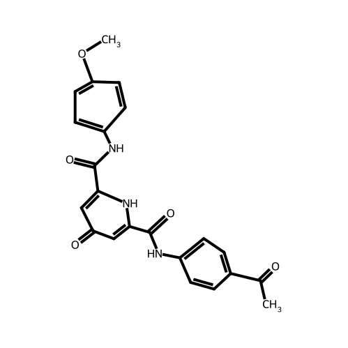 COc1ccc(NC(=O)c2cc(=O)cc(C(=O)Nc3ccc(C(C)=O)cc3)[nH]2)cc1